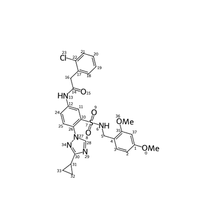 COc1ccc(CNS(=O)(=O)c2cc(NC(=O)Cc3ccccc3Cl)ccc2-n2cnc(C3CC3)n2)c(OC)c1